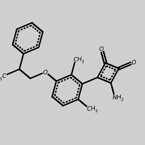 Cc1ccc(OCC(C)c2ccccc2)c(C)c1-c1c(N)c(=O)c1=O